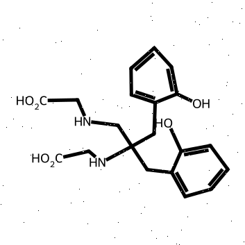 O=C(O)CNCC(Cc1ccccc1O)(Cc1ccccc1O)NCC(=O)O